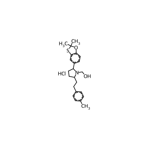 Cc1ccc(CCC2CCC(c3ccc4c(c3)SC(C)(C)O4)N2CO)cc1.Cl